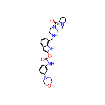 CN1CCC[C@H]1C(=O)N1CCN(Cc2cccc3cc(OC(=O)Nc4cccc(N5CCOCC5)c4)n(C)c23)CC1